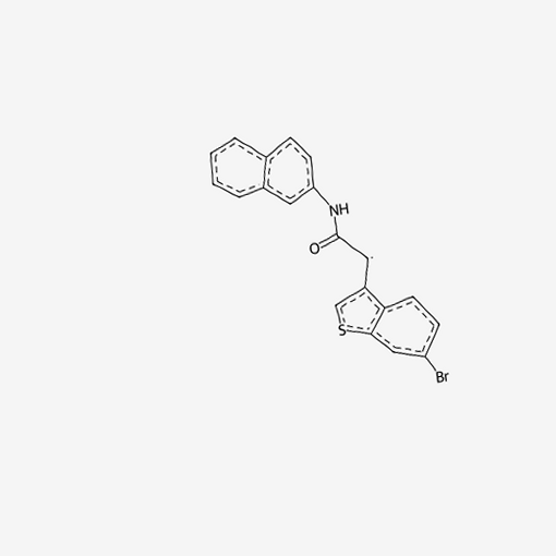 O=C([CH]c1csc2cc(Br)ccc12)Nc1ccc2ccccc2c1